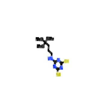 CO[Si](CCCNc1nc(S)nc(S)n1)(OC)OC